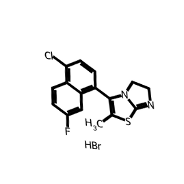 Br.CC1=C(c2ccc(Cl)c3ccc(F)cc23)N2CCN=C2S1